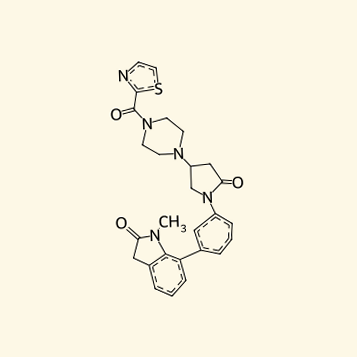 CN1C(=O)Cc2cccc(-c3cccc(N4CC(N5CCN(C(=O)c6nccs6)CC5)CC4=O)c3)c21